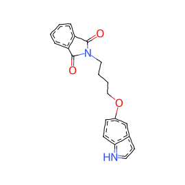 O=C1c2ccccc2C(=O)N1CCCCOc1ccc2[nH]ccc2c1